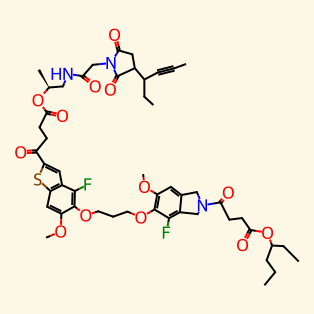 CC#CC(CC)C1CC(=O)N(CC(=O)NC[C@H](C)OC(=O)CCC(=O)c2cc3c(F)c(OCCCOc4c(OC)cc5c(c4F)CN(C(=O)CCC(=O)OC(CC)CCC)C5)c(OC)cc3s2)C1=O